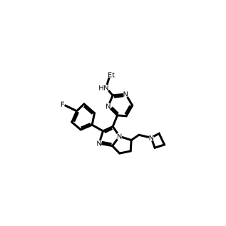 CCNc1nccc(-c2c(-c3ccc(F)cc3)nc3n2C(CN2CCC2)CC3)n1